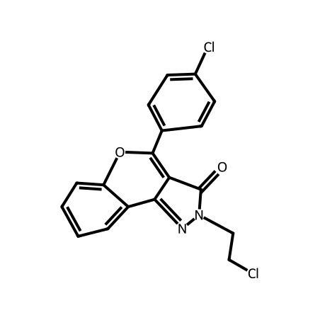 O=c1c2c(-c3ccc(Cl)cc3)oc3ccccc3c-2nn1CCCl